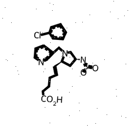 Clc1ccccc1.O=C(O)CCCC=C[C@@H]1C[C@@H](N=S(=O)=O)CN1Cc1cccnc1